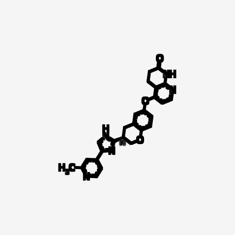 Cc1cc(-c2c[nH]c([C@@H]3COc4ccc(Oc5ccnc6c5CCC(=O)N6)cc4C3)n2)ccn1